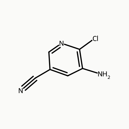 N#Cc1cnc(Cl)c(N)c1